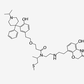 CSCC(C)N(CCNCCc1ccc(O)c2c1OCC(=O)N2)C(=O)CCOCCc1ccc(O)c(C2(c3ccccc3)CCN(C(C)C)CC2)c1